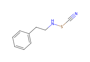 N#CSNCCc1ccccc1